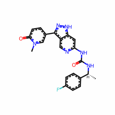 C[C@@H](NC(=O)Nc1cc2[nH]nc(-c3ccc(=O)n(C)c3)c2cn1)c1ccc(F)cc1